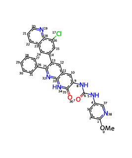 COc1ccc(NC(=O)Nc2cc3cc(-c4cc(Cl)c5ncccc5c4)c(-c4ccccc4)nc3[nH]c2=O)cn1